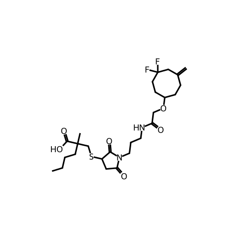 C=C1CCC(OCC(=O)NCCCN2C(=O)CC(SCC(C)(CCCC)C(=O)O)C2=O)CCC(F)(F)C1